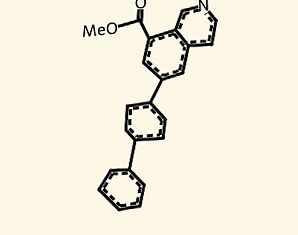 COC(=O)c1cc(-c2ccc(-c3ccccc3)cc2)cc2ccncc12